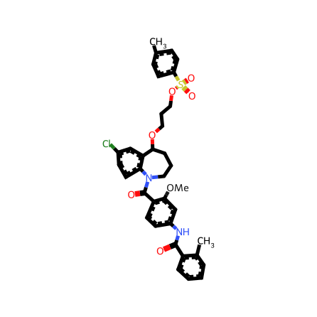 COc1cc(NC(=O)c2ccccc2C)ccc1C(=O)N1CCCC(OCCCOS(=O)(=O)c2ccc(C)cc2)c2cc(Cl)ccc21